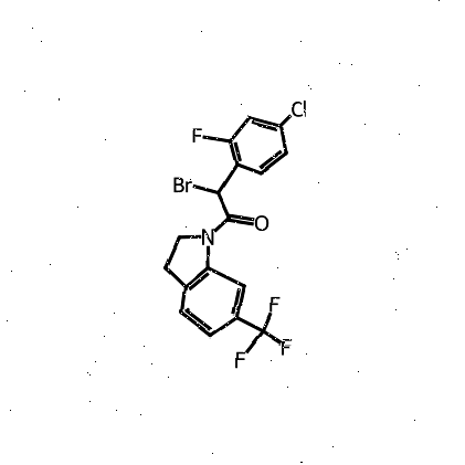 O=C(C(Br)c1ccc(Cl)cc1F)N1CCc2ccc(C(F)(F)F)cc21